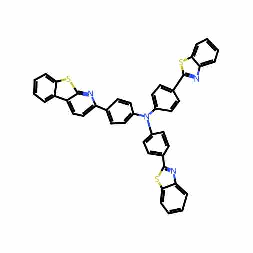 c1ccc2sc(-c3ccc(N(c4ccc(-c5ccc6c(n5)sc5ccccc56)cc4)c4ccc(-c5nc6ccccc6s5)cc4)cc3)nc2c1